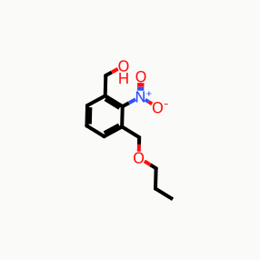 CCCOCc1cccc(CO)c1[N+](=O)[O-]